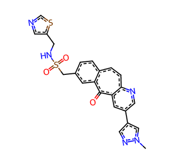 Cn1cc(-c2cnc3ccc4ccc(CS(=O)(=O)NCc5cncs5)cc4c(=O)c3c2)cn1